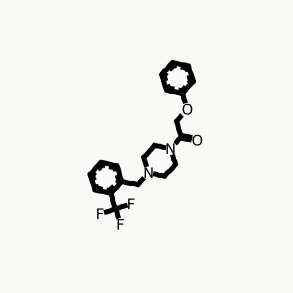 O=C(COc1ccccc1)N1CCN(Cc2ccccc2C(F)(F)F)CC1